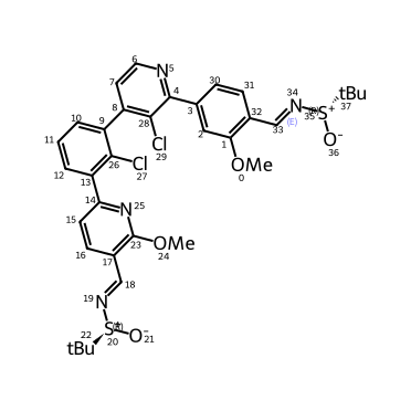 COc1cc(-c2nccc(-c3cccc(-c4ccc(C=N[S@@+]([O-])C(C)(C)C)c(OC)n4)c3Cl)c2Cl)ccc1/C=N/[S@@+]([O-])C(C)(C)C